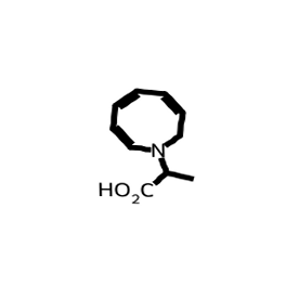 CC(C(=O)O)N1\C=C/C=C\C=C/C1